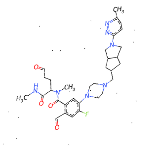 CNC(=O)C(CCC=O)N(C)C(=O)c1cc(N2CCN(CC3CC4CN(c5ccc(C)nn5)CC4C3)CC2)c(F)cc1C=O